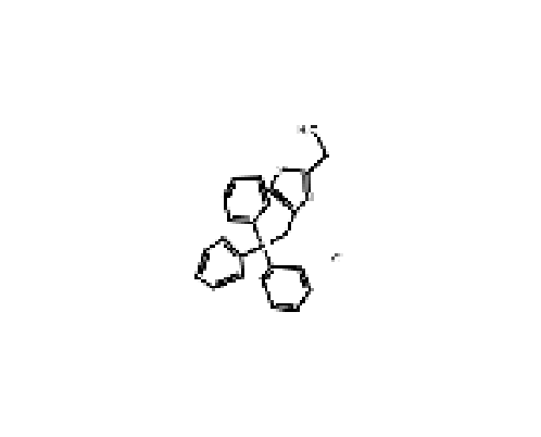 CCc1nc(C[P+](c2ccccc2)(c2ccccc2)c2ccccc2)cs1.[Cl-]